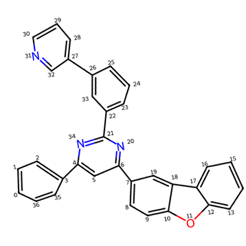 c1ccc(-c2cc(-c3ccc4oc5ccccc5c4c3)nc(-c3cccc(-c4cccnc4)c3)n2)cc1